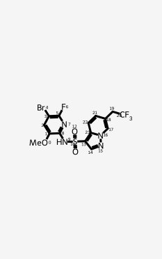 COc1cc(Br)c(F)nc1NS(=O)(=O)c1cnn2cc(CC(F)(F)F)ccc12